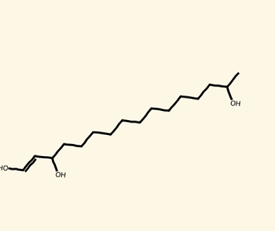 CC(O)CCCCCCCCCCCC(O)C=CO